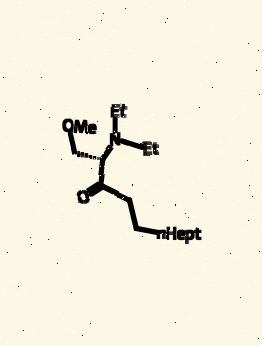 CCCCCCCCCC(=O)[C@H](COC)N(CC)CC